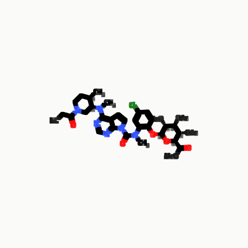 COC(=O)[C@H]1O[C@@H](Oc2ccc(Cl)cc2N(C)C(=O)n2ccc3c(N(C)[C@H]4CN(C(=O)CC#N)CC[C@H]4C)ncnc32)[C@H](OC(C)=O)[C@@H](OC(C)=O)[C@@H]1OC(C)=O